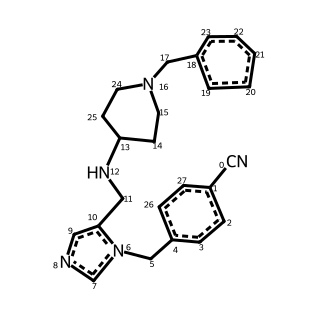 N#Cc1ccc(Cn2cncc2CNC2CCN(Cc3ccccc3)CC2)cc1